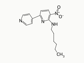 CCCCCCNc1nc(-c2ccncc2)ccc1[N+](=O)[O-]